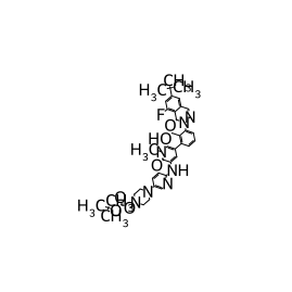 Cn1cc(-c2cccc(-n3ncc4cc(C(C)(C)C)cc(F)c4c3=O)c2CO)cc(Nc2ccc(N3CCN(OC(=O)OC(C)(C)C)CC3)cn2)c1=O